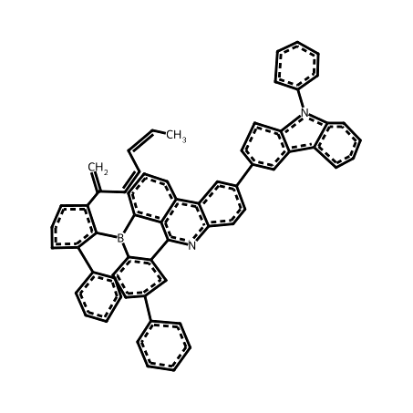 C=C(/C=C\C=C/C)c1cccc(-c2ccccc2)c1B1c2ccc(-c3ccccc3)cc2-c2nc3ccc(-c4ccc5c(c4)c4ccccc4n5-c4ccccc4)cc3c3cccc1c23